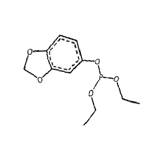 CCOP(OCC)Oc1ccc2c(c1)OCO2